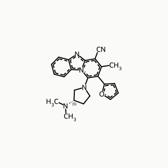 Cc1c(-c2ccco2)c(N2CC[C@H](N(C)C)C2)n2c(nc3ccccc32)c1C#N